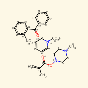 C=C(C)C(=O)ON1CCN(C)CC1.O=C(O)N1C=CC=CC1.O=C(c1ccccc1)c1ccccc1[N+](=O)[O-]